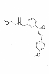 COCCNCc1cccc(C(=O)C=Cc2ccc(OC)cc2)c1